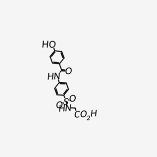 O=C(O)CNS(=O)(=O)c1ccc(NC(=O)c2ccc(O)cc2)cc1